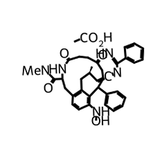 CC(=O)O.CNC(=O)C1Cc2ccc(NO)c(c2C[C@@H](C)C=C=NC(=N)c2ccccc2)C(c2ccccc2)CCC(=O)CCC(=O)N1